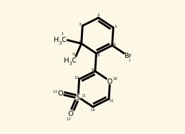 CC1(C)CC=CC(Br)=C1C1=CS(=O)(=O)C=CO1